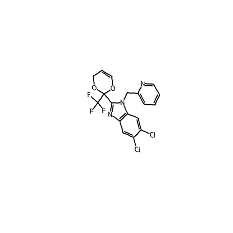 FC(F)(F)C1(c2nc3cc(Cl)c(Cl)cc3n2Cc2ccccn2)OC=CCO1